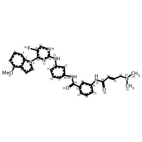 COc1cccc2c1ccn2-c1nc(Nc2cccc(NC(=O)c3cccc(NC(=O)C=CCN(C)C)c3)c2)ncc1F